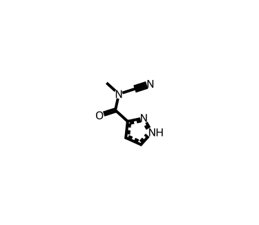 CN(C#N)C(=O)c1cc[nH]n1